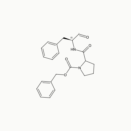 O=[C][C@H](Cc1ccccc1)NC(=O)C1CCCN1C(=O)OCc1ccccc1